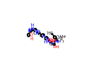 C#Cc1ccc([C@H](C)NC(=O)[C@@H]2C[C@@H](O)CN2C(=O)[C@@H](NC(=O)N2CCC(N3CCC(c4cnc(N5CCc6[nH]c7nnc(-c8ccccc8O)cc7c6[C@H]5C)nc4)CC3)CC2)C(C)(C)C)c(OC)c1